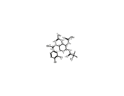 CCc1c(Br)cccc1[C@H]1O[C@H](OC(=O)C(C)(C)CC)[C@H](OC(=O)C(C)(C)C)[C@H](OC(=O)C(C)(C)C)[C@@H]1OC(=O)C(C)(C)C